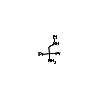 CCNCC(N)(C(C)C)C(C)C